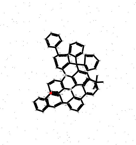 CC(C)(C)c1cc2c3c(c1)C(c1ccccc1)(c1ccccc1)c1cc(-c4ccccc4)ccc1B3c1ccc(-c3ccccc3)cc1N2c1c(-c2ccccc2)cccc1-c1ccccc1